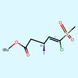 CC(C)(C)OC(=O)C[C@H](I)/C=C(\Cl)S(C)(=O)=O